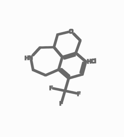 Cl.FC(F)(F)c1ccc2c3c1CCNCC3COC2